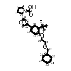 O=C(O)N1CCC[C@H]1c1nc(-c2ccc(OCCOCc3ccccc3)c(C(F)(F)F)c2)co1